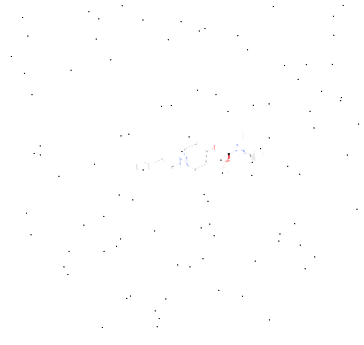 CC(C)CCN1CCC(OC(=O)NC(C)C)CC1